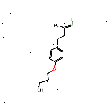 CCCCOc1ccc(CC/C(C)=C/F)cc1